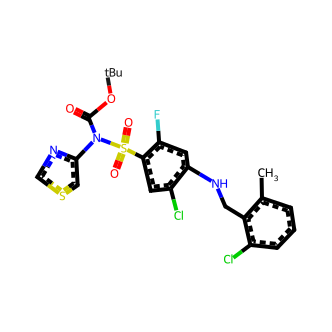 Cc1cccc(Cl)c1CNc1cc(F)c(S(=O)(=O)N(C(=O)OC(C)(C)C)c2cscn2)cc1Cl